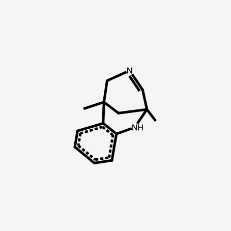 CC12C=NCC(C)(C1)c1ccccc1N2